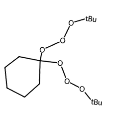 CC(C)(C)OOOC1(OOOC(C)(C)C)CCCCC1